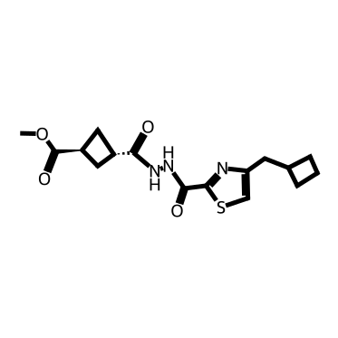 COC(=O)[C@H]1C[C@H](C(=O)NNC(=O)c2nc(CC3CCC3)cs2)C1